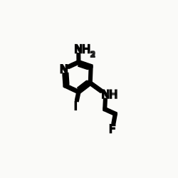 Nc1cc(NCCF)c(I)cn1